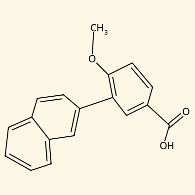 COc1ccc(C(=O)O)cc1-c1ccc2ccccc2c1